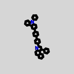 c1ccc(-c2cc(-c3ccc(-c4ccc(-c5ccc6c(c5)c5ccccc5n6-c5ccccc5)cc4)cc3)nc3ccc4ccccc4c23)cc1